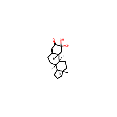 C[C@@]12CCC[C@H]1[C@@H]1CCC3=CC(=O)C(O)(O)C[C@@H]3[C@H]1CC2